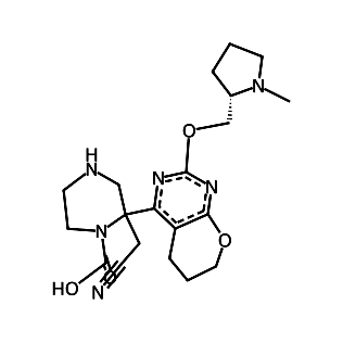 CN1CCC[C@H]1COc1nc2c(c(C3(CC#N)CNCCN3C(=O)O)n1)CCCO2